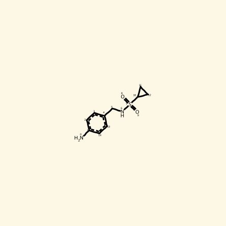 Nc1ccc(CNS(=O)(=O)C2CC2)cc1